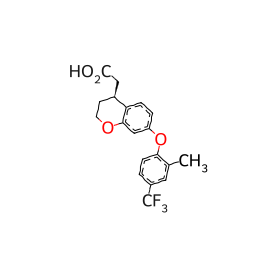 Cc1cc(C(F)(F)F)ccc1Oc1ccc2c(c1)OCC[C@H]2CC(=O)O